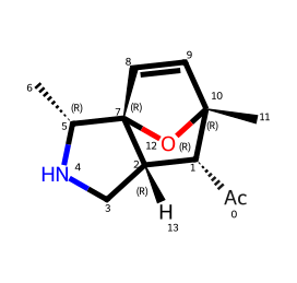 CC(=O)[C@@H]1[C@@H]2CN[C@H](C)[C@@]23C=C[C@@]1(C)O3